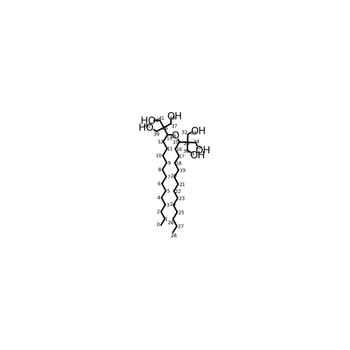 CCCCCCCCCCCCCC(OC(CCCCCCCCCCCCC)C(CO)(CO)CO)C(CO)(CO)CO